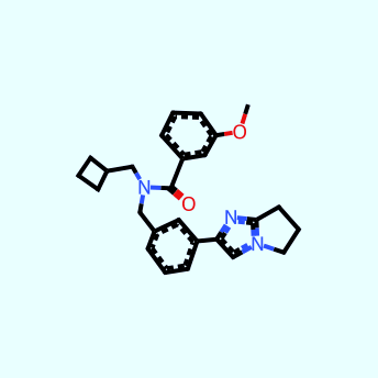 COc1cccc(C(=O)N(Cc2cccc(-c3cn4c(n3)CCC4)c2)CC2CCC2)c1